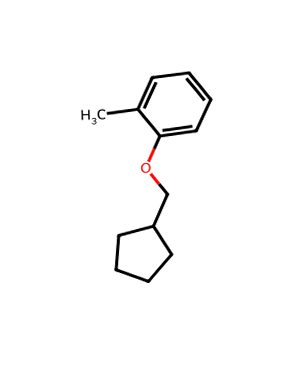 Cc1ccccc1OCC1CCCC1